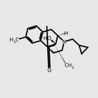 Cc1ccc2c(c1)[C@]13CCN(CC4CC4)[C@H](C2)[C@]1(O)C[C@H](C)C(=O)C3